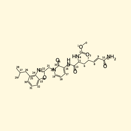 COC(=O)NC(CC/C=C/C(N)=O)C(=O)Nc1cccn(Cc2nc3c(CC(C)C)cccc3o2)c1=O